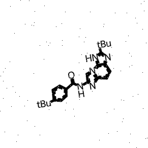 CC(C)(C)c1ccc(C(=O)Nc2cn3c(ccc4nc(C(C)(C)C)[nH]c43)n2)cc1